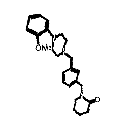 COc1ccccc1N1CCN(Cc2cccc(CN3CCCCC3=O)c2)CC1